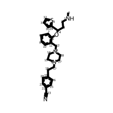 CNCCC(Oc1ccccc1CN1CCN(CCc2ccc(C#N)cc2)CC1)c1cccs1